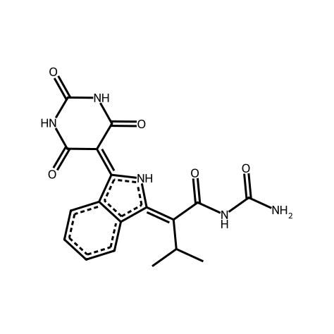 CC(C)/C(C(=O)NC(N)=O)=c1/[nH]c(=C2C(=O)NC(=O)NC2=O)c2ccccc12